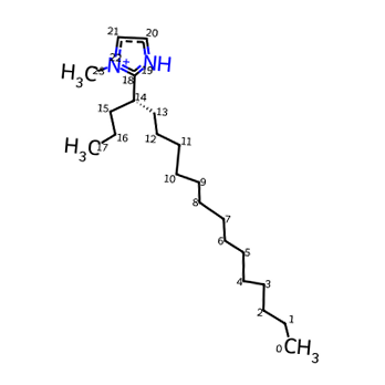 CCCCCCCCCCCCCC[C@H](CCC)c1[nH]cc[n+]1C